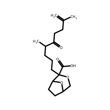 C=C(C)CCC(=O)C(C)CCCC1(C(=O)O)OCC2CCC1O2